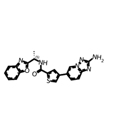 C[C@H](NC(=O)c1cc(-c2ccc3nc(N)nn3c2)cs1)c1nc2ccccc2o1